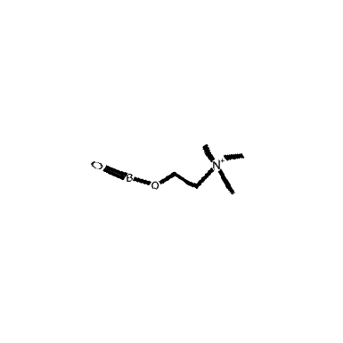 C[N+](C)(C)CCOB=O